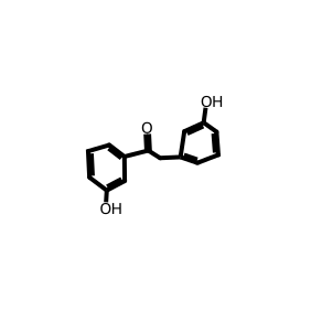 O=C(Cc1cccc(O)c1)c1cccc(O)c1